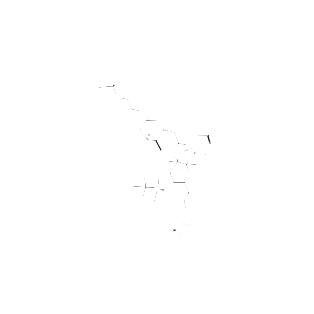 C=C1C(CC2O[C@H]3CC(O[Si](C)(C)C(C)(C)C)C(CCO[Si](C)(C)C(C)(C)C)O[C@H]3[C@H](C)[C@H]2OC(C)=O)O[C@@H](CCCOC(C)=O)C[C@H]1C